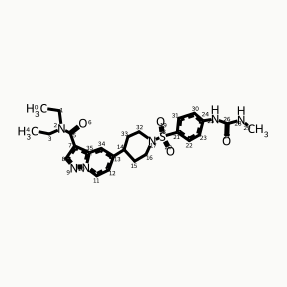 CCN(CC)C(=O)c1cnn2ccc(C3CCN(S(=O)(=O)c4ccc(NC(=O)NC)cc4)CC3)cc12